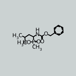 CC(C)CC(NC(=O)OCc1ccccc1)P(C)(=O)O